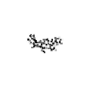 CCCNc1nn2c(C)c(CC(C)C(=O)O)nc2cc1N1CCC(OC(c2ccccc2)c2ccccc2)CC1